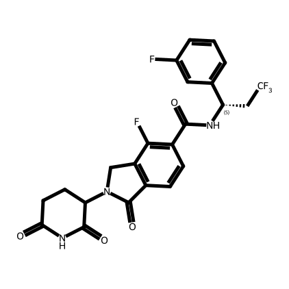 O=C1CCC(N2Cc3c(ccc(C(=O)N[C@@H](CC(F)(F)F)c4cccc(F)c4)c3F)C2=O)C(=O)N1